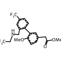 COC(=O)Cc1ccc(OC)c(-c2ccc(C(F)(F)F)cc2CNCC(F)(F)F)c1